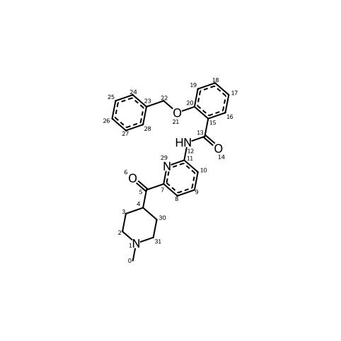 CN1CCC(C(=O)c2cccc(NC(=O)c3ccccc3OCc3ccccc3)n2)CC1